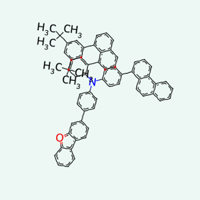 CC(C)(C)c1cc(-c2cccc3cccc(C4=CC=CCC4N(c4ccc(-c5ccc6c(c5)oc5ccccc56)cc4)c4ccc(-c5cccc6c5ccc5ccccc56)cc4)c23)cc(C(C)(C)C)c1